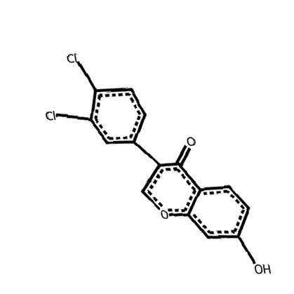 O=c1c(-c2ccc(Cl)c(Cl)c2)coc2cc(O)ccc12